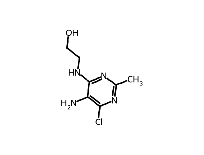 Cc1nc(Cl)c(N)c(NCCO)n1